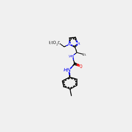 CCOC(=O)Cn1ccnc1C(CC)NC(=O)Nc1ccc(C)cc1